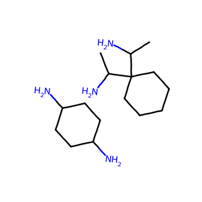 CC(N)C1(C(C)N)CCCCC1.NC1CCC(N)CC1